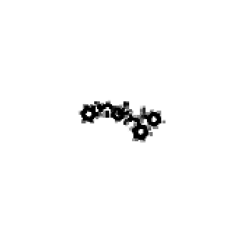 O=C(O[C@H]1C[N+]2(Cc3nc4ccccc4[nH]3)CCC1CC2)[C@H](Nc1ccccc1)c1ccccc1